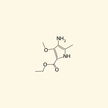 CCOC(=O)c1[nH]c(C)c(N)c1OC